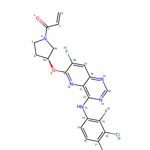 C=CC(=O)N1CC[C@H](Oc2nc3c(Nc4ccc(C#N)c(Cl)c4F)ncnc3cc2F)C1